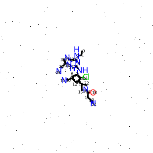 CCNc1nc(Nc2cc(C#N)cc(C3CN(C(=O)CC#N)C3)c2Cl)nn2c(C#N)cnc12